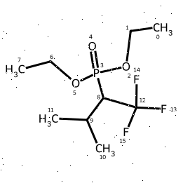 CCOP(=O)(OCC)C(C(C)C)C(F)(F)F